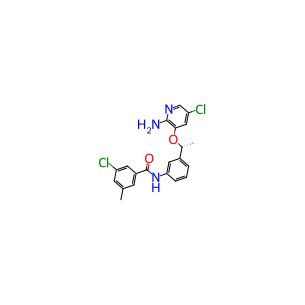 Cc1cc(Cl)cc(C(=O)Nc2cccc([C@@H](C)Oc3cc(Cl)cnc3N)c2)c1